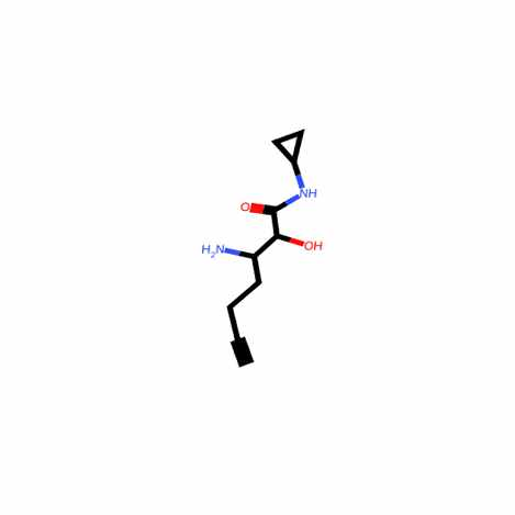 C#CCCC(N)C(O)C(=O)NC1CC1